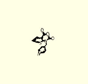 O=c1oc(=O)n(Cc2ccncc2)c2sccc12